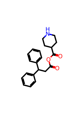 O=C(CC(c1ccccc1)c1ccccc1)OC(=O)C1CCNCC1